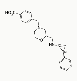 O=C(O)c1ccc(CN2CCOC(CN[C@@H]3C[C@H]3c3ccccc3)C2)cc1